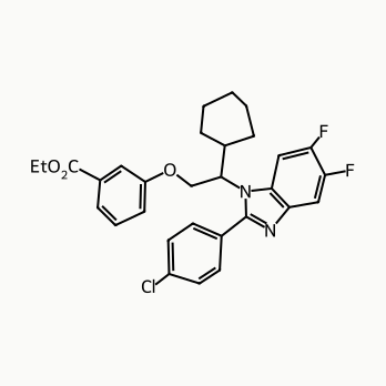 CCOC(=O)c1cccc(OCC(C2CCCCC2)n2c(-c3ccc(Cl)cc3)nc3cc(F)c(F)cc32)c1